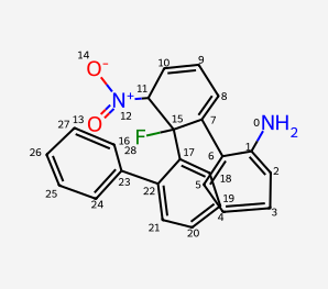 Nc1ccccc1C1=CC=CC([N+](=O)[O-])C1(F)c1ccccc1-c1ccccc1